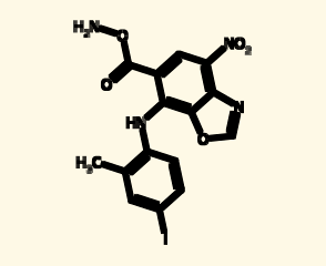 Cc1cc(I)ccc1Nc1c(C(=O)ON)cc([N+](=O)[O-])c2ncoc12